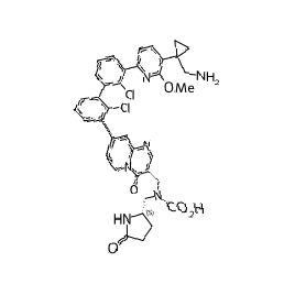 COc1nc(-c2cccc(-c3cccc(-c4ccn5c(=O)c(CN(C[C@@H]6CCC(=O)N6)C(=O)O)cnc5c4)c3Cl)c2Cl)ccc1C1(CN)CC1